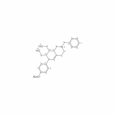 COc1ccc(C2C=C3CCN(Cc4ccccc4)CC3C(CO)C2CO)cc1